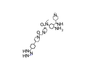 CCN(C(=O)[C@@H]1CCN(CC(=O)N2CC=C(c3ccc(C(=N)/N=C\NC)cc3)CC2)C1)c1ccc(N)c(C(=N)C2CCN(C)CC2)c1